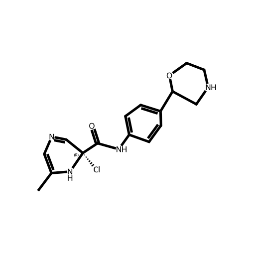 CC1=CN=C[C@@](Cl)(C(=O)Nc2ccc(C3CNCCO3)cc2)N1